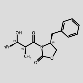 CCC[C@@H](O)[C@H](C)C(=O)N1C(=O)OC[C@@H]1Cc1ccccc1